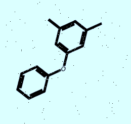 Cc1cc(C)cc(Oc2ccccc2)c1